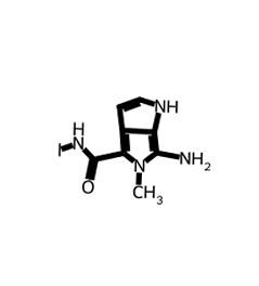 Cn1c(C(=O)NI)c2cc[nH]c2c1N